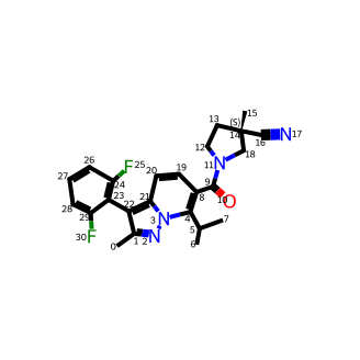 Cc1nn2c(C(C)C)c(C(=O)N3CC[C@](C)(C#N)C3)ccc2c1-c1c(F)cccc1F